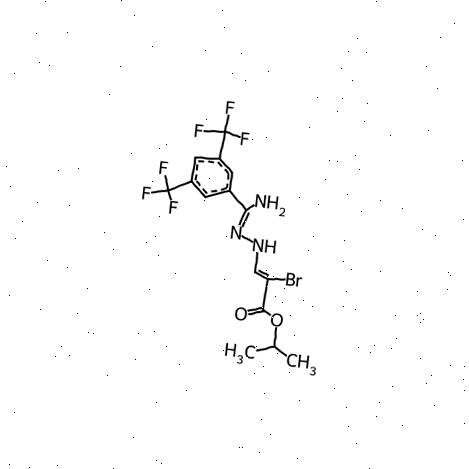 CC(C)OC(=O)/C(Br)=C/N/N=C(\N)c1cc(C(F)(F)F)cc(C(F)(F)F)c1